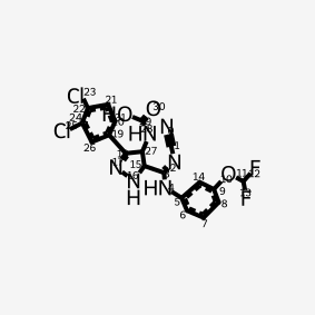 N#CN=C(Nc1cccc(OC(F)F)c1)C1NN=C(c2ccc(Cl)c(Cl)c2)C1NC(=O)O